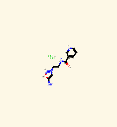 Cl.Cl.[NH-]c1c[n+](CCNC(=O)c2cccnc2)no1